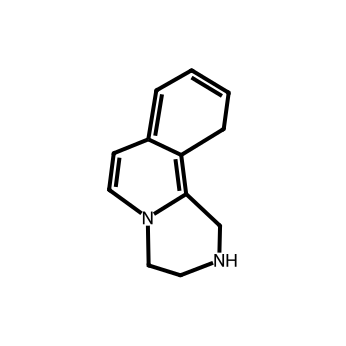 C1=CCC2=C3CNCCN3C=CC2=C1